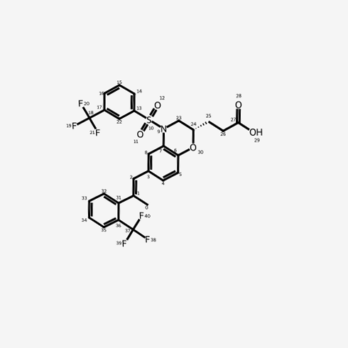 C/C(=C\c1ccc2c(c1)N(S(=O)(=O)c1cccc(C(F)(F)F)c1)C[C@H](CCC(=O)O)O2)c1ccccc1C(F)(F)F